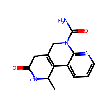 CC1NC(=O)CC2=C1c1cccnc1N(C(N)=O)C2